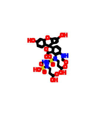 O=CNc1ccc2c(c1N(CCC(=O)O)S(=O)(=O)NN(CCC(=O)O)S(=O)(=O)O)C(=O)OC21c2ccc(O)cc2Oc2cc(O)ccc21